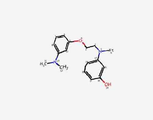 CCN(CCOc1cccc(N(C)C)c1)c1cccc(O)c1